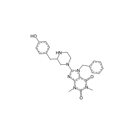 Cn1c(=O)c2c(nc(N3CCNC(Cc4ccc(O)cc4)C3)n2Cc2ccccc2)n(C)c1=O